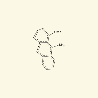 COc1cccc2cc3ccccc3c(N)c12